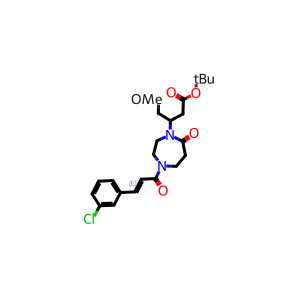 COCC(CC(=O)OC(C)(C)C)N1CCN(C(=O)/C=C/c2cccc(Cl)c2)CCC1=O